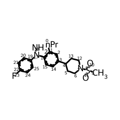 CCCc1cc(C2CCN(S(C)(=O)=O)CC2)ccc1N(N)c1ccc(F)cc1